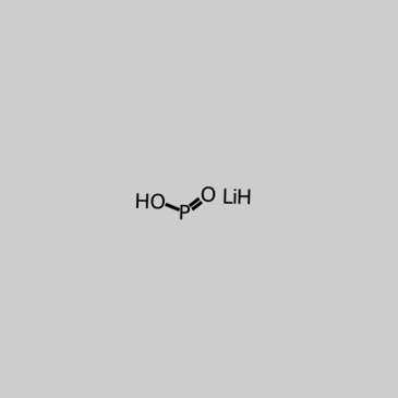 O=PO.[LiH]